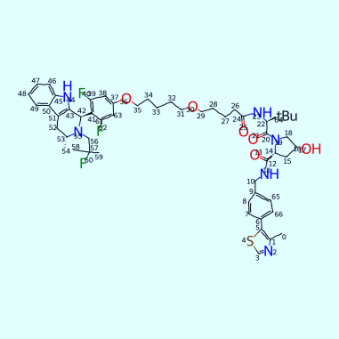 Cc1ncsc1-c1ccc(CNC(=O)[C@@H]2C[C@@H](O)CN2C(=O)[C@@H](NC(=O)CCCCOCCCCCOc2cc(F)c([C@@H]3c4[nH]c5ccccc5c4C[C@@H](C)N3CC(C)(C)F)c(F)c2)C(C)(C)C)cc1